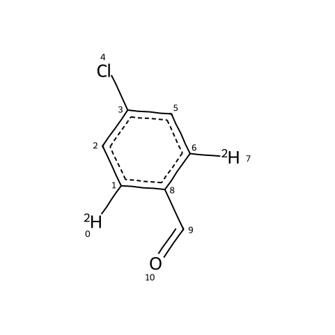 [2H]c1cc(Cl)cc([2H])c1C=O